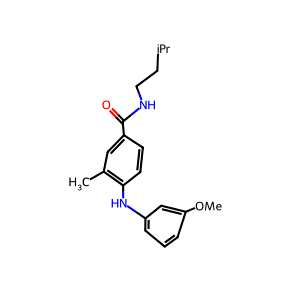 COc1cccc(Nc2ccc(C(=O)NCCC(C)C)cc2C)c1